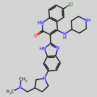 CN(C)CC1CCN(c2ccc3nc(-c4c(NC5CCNCC5)c5cc(Cl)ccc5[nH]c4=O)[nH]c3c2)C1